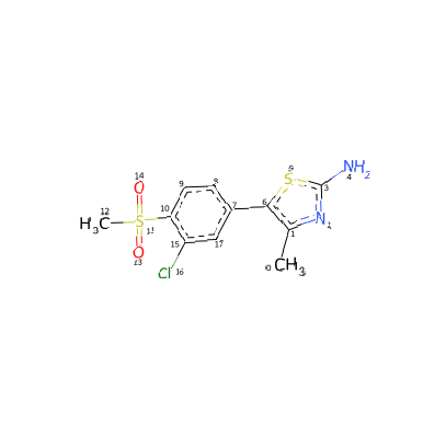 Cc1nc(N)sc1-c1ccc(S(C)(=O)=O)c(Cl)c1